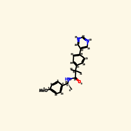 COc1ccc([C@@H](C)NC(=O)C(C)(C)c2ccc(-c3cncnc3)cc2)cc1